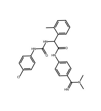 Cc1ccccc1C(NC(=O)Nc1ccc(Cl)cc1)C(=O)Nc1ccc(C(=N)N(C)C)cc1